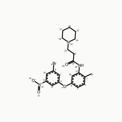 Cc1ccc(Oc2cc(Br)cc([N+](=O)[O-])c2)cc1NC(=O)CCN1CCCCC1